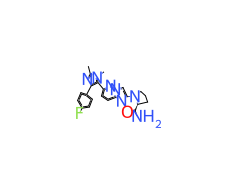 Cc1nc(-c2ccc(F)cc2)c(-c2ccc3nc(N4CCC[C@H]4C(N)=O)cn3n2)n1C